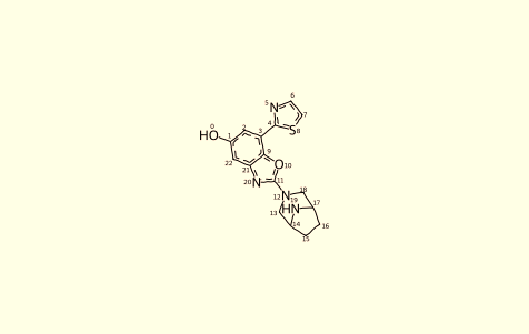 Oc1cc(-c2nccs2)c2oc(N3CC4CCC(C3)N4)nc2c1